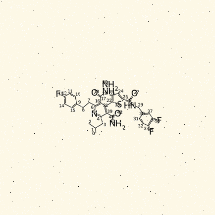 CC(C)Cc1nc(CCc2ccc(F)cc2)c(C(=O)NN)c(-c2ccc(C(=O)NCc3ccc(F)c(F)c3)s2)c1C(N)=O